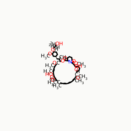 [2H]C([2H])(O)C([2H])([2H])O[C@@H]1CC[C@@H](C[C@@H](C)[C@@H]2CC(=O)[C@H](C)C=C(C)[C@@H](O)[C@@H](OC)C(=O)[C@H](C)C[C@H](C)C=CC=CC=C(C)[C@@H](OC)C[C@@H]3CC[C@@H](C)[C@@](O)(O3)C(=O)C(=O)N3CCCC[C@H]3C(=O)O2)C[C@H]1OC